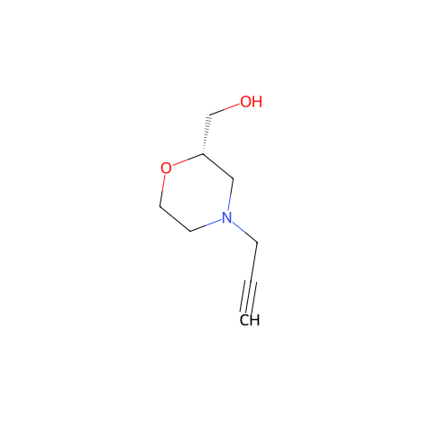 C#CCN1CCO[C@H](CO)C1